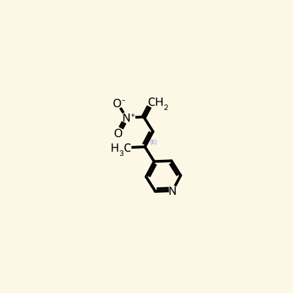 C=C(/C=C(\C)c1ccncc1)[N+](=O)[O-]